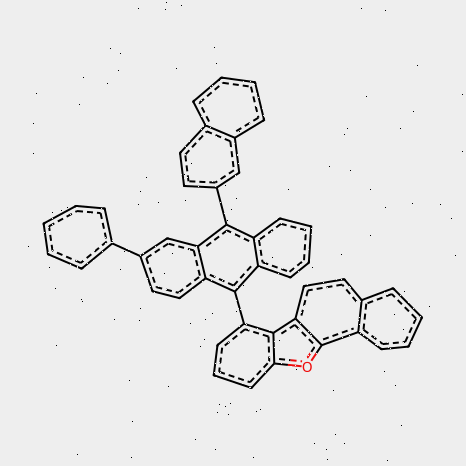 c1ccc(-c2ccc3c(-c4cccc5oc6c7ccccc7ccc6c45)c4ccccc4c(-c4ccc5ccccc5c4)c3c2)cc1